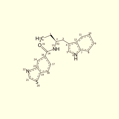 CC[C@@H](Cc1c[nH]c2ccccc12)NC(=O)c1ccc2scnc2c1